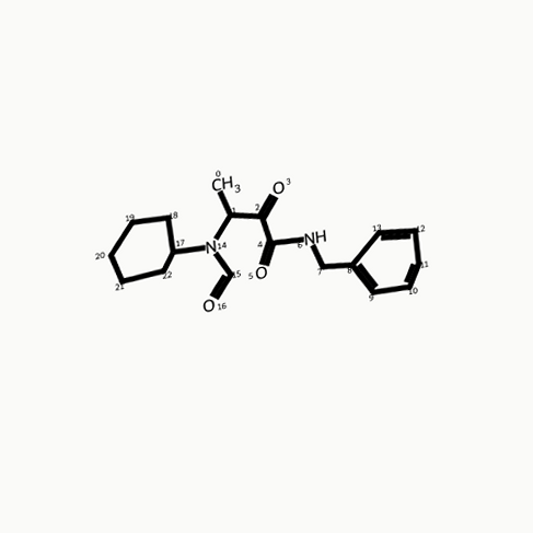 CC(C(=O)C(=O)NCc1ccccc1)N(C=O)C1CCCCC1